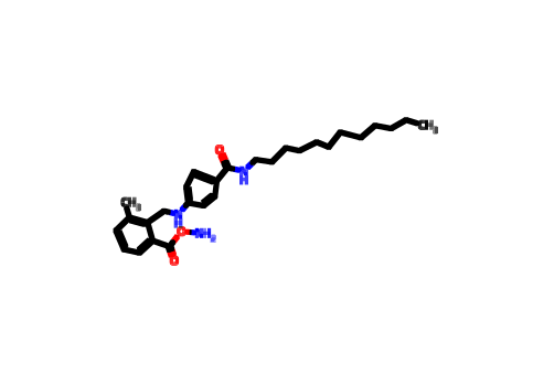 CCCCCCCCCCCCNC(=O)c1ccc(NCc2c(C)cccc2C(=O)ON)cc1